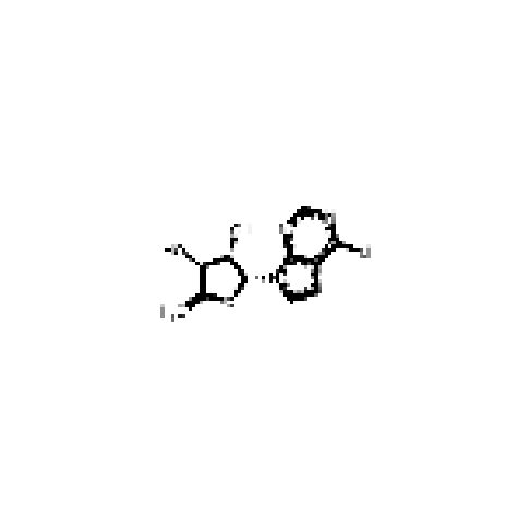 C=C1O[C@@H](n2ccc3c(Cl)ncnc32)[C@H](O)[C@@H]1O